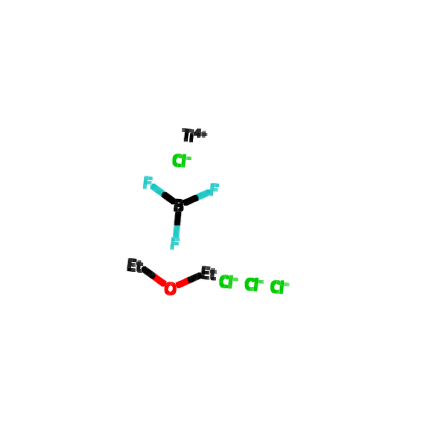 CCOCC.FB(F)F.[Cl-].[Cl-].[Cl-].[Cl-].[Ti+4]